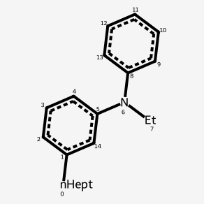 CCCCCCCc1cccc(N(CC)c2ccccc2)c1